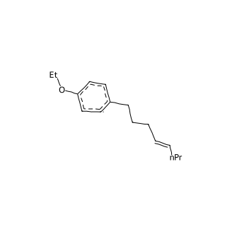 CCCC=CCCCc1[c]cc(OCC)cc1